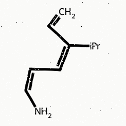 C=C/C(=C\C=C/N)C(C)C